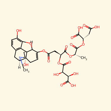 C[C@H](OC(=O)[C@H](CC(=O)OC1=CC[C@@]2(O)[C@H]3Cc4ccc(O)c5c4[C@@]2(CCN3C)[C@H]1O5)OC(=O)[C@H](O)[C@@H](O)C(=O)O)C(=O)O[C@@H](CC(=O)O)C(=O)O